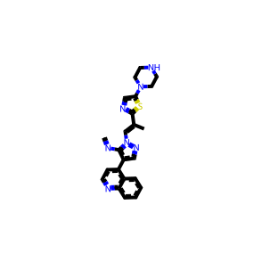 C=Nc1c(-c2ccnc3ccccc23)cnn1/C=C(\C)c1ncc(N2CCNCC2)s1